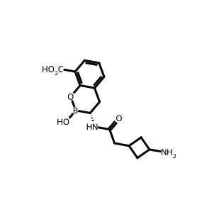 NC1CC(CC(=O)N[C@H]2Cc3cccc(C(=O)O)c3OB2O)C1